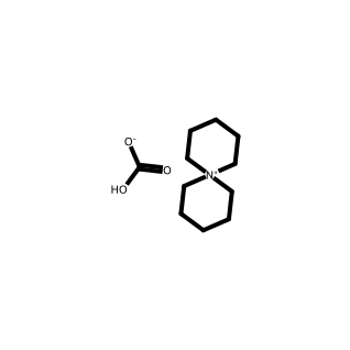 C1CC[N+]2(CC1)CCCCC2.O=C([O-])O